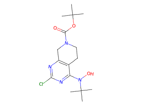 CC(C)(C)OC(=O)N1CCc2c(nc(Cl)nc2N(O)C(C)(C)C)C1